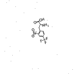 NC(Cc1ccc(C(F)(F)F)cc1[N+](=O)[O-])C(=O)O